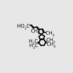 CC1=C/C(=C/C(C)=C/C(=O)O)CC12CC1=C(C2)C(C)(C)CCC1(C)C